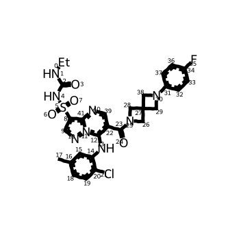 CCNC(=O)NS(=O)(=O)c1cnn2c(Nc3cc(C)ccc3Cl)c(C(=O)N3CC4(C3)CN(c3ccc(F)cc3)C4)cnc12